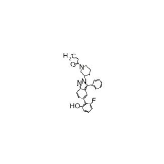 C=CC(=O)N1CCCC(n2nc3ccc(-c4c(O)cccc4F)cc3c2-c2ccccc2)C1